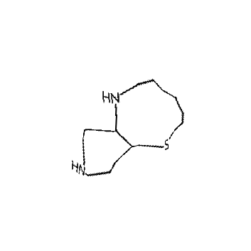 C1CNC2CNCC2SC1